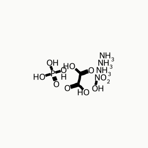 N.N.N.O=C(O)C(=O)O.O=P(O)(O)O.O=[N+]([O-])O